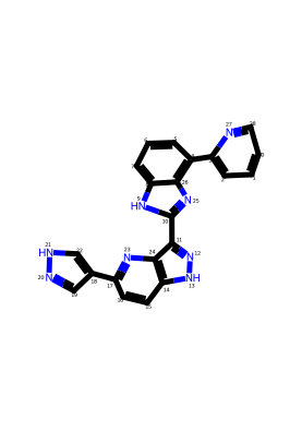 c1ccc(-c2cccc3[nH]c(-c4n[nH]c5ccc(-c6cn[nH]c6)nc45)nc23)nc1